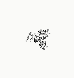 Cc1cc(C)c2c(c1)C(=O)N(C(C(=O)Nc1nccs1)c1ncn3c1CCC3)C2